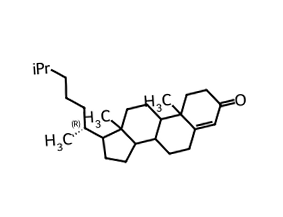 CC(C)CCC[C@@H](C)C1CCC2C3CCC4=CC(=O)CCC4(C)C3CCC21C